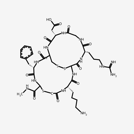 CNC(=O)C1NC(=O)[C@H](Cc2ccccc2)NC(=O)[C@@H]2CSSC(NC(=O)[C@H](CCCCN)NC(=O)CS1)C(=O)N[C@@H](CCCNC(=N)N)C(=O)NCC(=O)N[C@@H](CC(=O)O)C(=O)N2